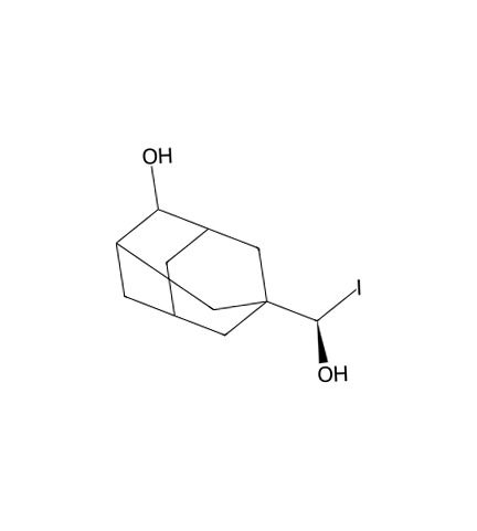 OC1C2CC3CC1CC([C@H](O)I)(C3)C2